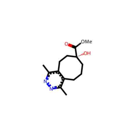 COC(=O)[C@@]1(O)CCCc2c(C)nnc(C)c2CC1